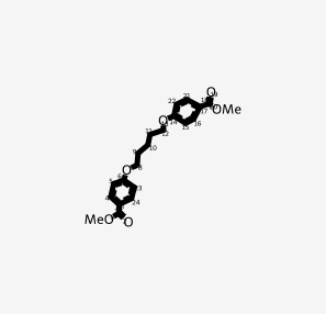 COC(=O)c1ccc(OCCCCCOc2ccc(C(=O)OC)cc2)cc1